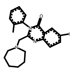 Cc1ccccc1-n1c(CN2CCCCCC2)nc2ccc(I)cc2c1=O